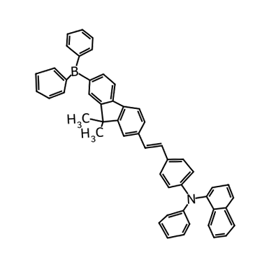 CC1(C)c2cc(/C=C/c3ccc(N(c4ccccc4)c4cccc5ccccc45)cc3)ccc2-c2ccc(B(c3ccccc3)c3ccccc3)cc21